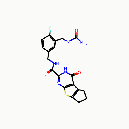 NC(=O)NCc1cc(CNC(=O)c2nc3sc4c(c3c(=O)[nH]2)CCC4)ccc1F